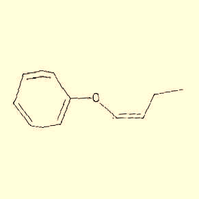 CC/C=[C]\Oc1ccccc1